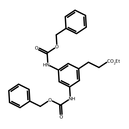 CCOC(=O)CCc1cc(NC(=O)OCc2ccccc2)cc(NC(=O)OCc2ccccc2)c1